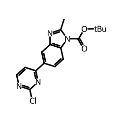 Cc1nc2cc(-c3ccnc(Cl)n3)ccc2n1C(=O)OC(C)(C)C